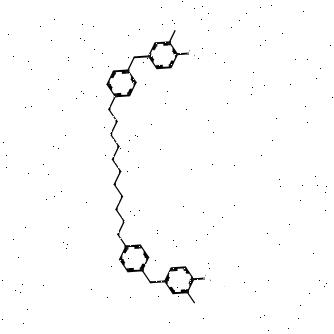 Cc1cc(Cc2ccc(CCCCCCCCCCCc3ccc(Cc4ccc(N)c(C)c4)cc3)cc2)ccc1N